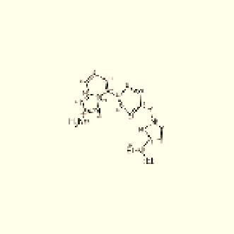 CCN(CC)C1CCN(Cc2ccc(-c3cccc4nc(N)nn34)cc2)C1